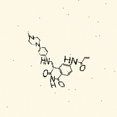 C=CC(=O)Nc1ccc2c(c1)/C(=C/Nc1ccc(N3CCN(C)CC3)cc1)C(=O)NC2=O